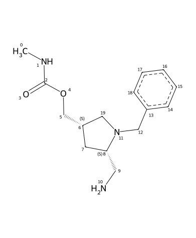 CNC(=O)OC[C@H]1C[C@@H](CN)N(Cc2ccccc2)C1